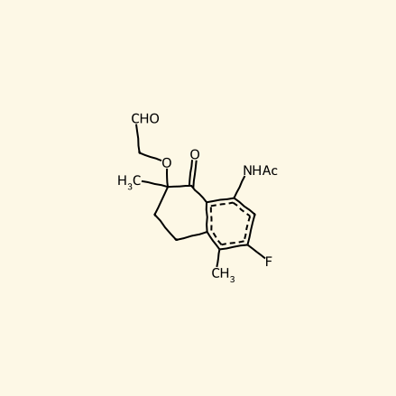 CC(=O)Nc1cc(F)c(C)c2c1C(=O)C(C)(OCC=O)CC2